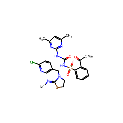 COC(=O)c1ccccc1S(=O)(=O)NC(=O)Nc1nc(C)cc(C)n1.N#C/N=C1\SCCN1Cc1ccc(Cl)nc1